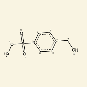 O=S(=O)(OS)c1ccc(CO)cc1